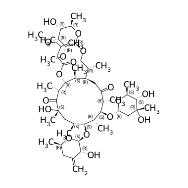 C=C1C[C@@H](C)O[C@@H](O[C@@H]2[C@@H](C)[C@H](O[C@H]3C[C@@](C)(O)[C@@H](O)[C@H](C)O3)[C@@H](C)C(=O)C[C@H]([C@@H](C)CO[C@@H]3O[C@H](C)[C@@H](O)[C@@H](OC)[C@H]3OC)[C@H](C)[C@@H](OC(=O)CC(C)C)[C@@H](C)C(=O)[C@@](C)(O)C[C@@H]2C)[C@@H]1O